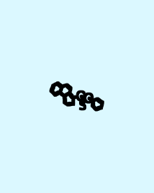 S=C(Oc1ccccc1)Oc1cccc2c1ccc1ccccc12